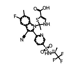 Cc1cc2c(cc1F)c(C#N)c(-c1ccc(S(=O)(=O)N[C@@H](C)C(F)(F)F)cn1)n2C1(C)NC=C(C(=O)O)S1